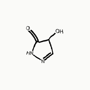 O=C1NN=CC1O